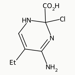 CCC1=CNC(Cl)(C(=O)O)N=C1N